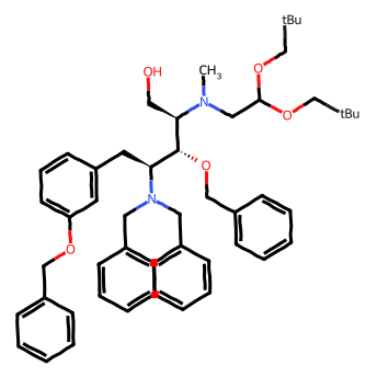 CN(CC(OCC(C)(C)C)OCC(C)(C)C)[C@H](CO)[C@H](OCc1ccccc1)[C@H](Cc1cccc(OCc2ccccc2)c1)N(Cc1ccccc1)Cc1ccccc1